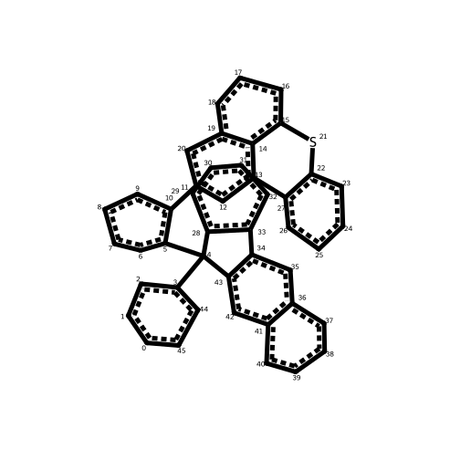 c1ccc(C2(c3ccccc3-c3cc4c5c(cccc5c3)Sc3ccccc3-4)c3ccccc3-c3cc4ccccc4cc32)cc1